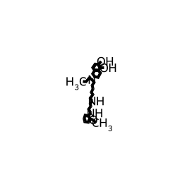 CCCN(CCCCCCNCCCNc1ccccc1OC)[C@H]1CCc2c(ccc(O)c2O)C1